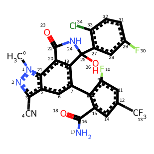 Cn1nc(C#N)c2cc(-c3c(F)cc(C(F)(F)F)cc3C(N)=O)c3c(c21)C(=O)NC3(O)c1cc(F)ccc1Cl